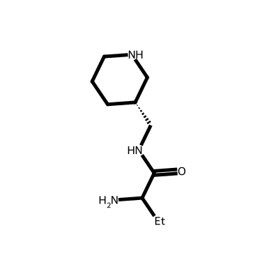 CCC(N)C(=O)NC[C@@H]1CCCNC1